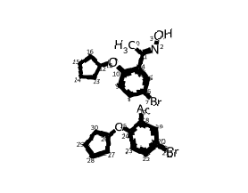 C/C(=N\O)c1cc(Br)ccc1OC1CCCC1.CC(=O)c1cc(Br)ccc1OC1CCCC1